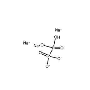 O=P([O-])([O-])P(=O)([O-])O.[Na+].[Na+].[Na+]